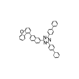 C1=CCC(c2ccc(-c3nc(-c4ccc(-c5ccccc5)cc4)nc(-c4ccc5ccc(-c6cccc7oc8ccccc8c67)cc5c4)n3)cc2)C=C1